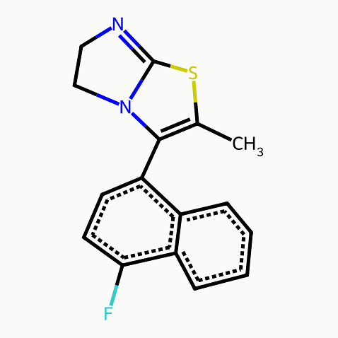 CC1=C(c2ccc(F)c3ccccc23)N2CCN=C2S1